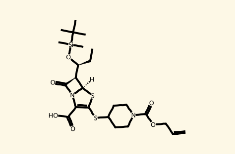 C=CCOC(=O)N1CCC(SC2=C(C(=O)O)N3C(=O)[C@@H]([C@H](CC)O[Si](C)(C)C(C)(C)C)[C@H]3S2)CC1